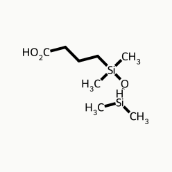 C[SiH](C)O[Si](C)(C)CCCC(=O)O